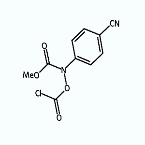 COC(=O)N(OC(=O)Cl)c1ccc(C#N)cc1